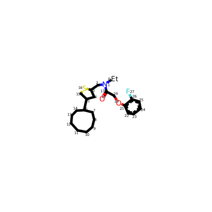 CCN(CC1CC(C2CCCCCCCC2)CS1)C(=O)COc1ccccc1F